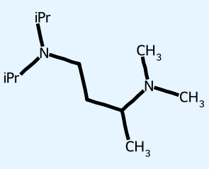 CC(CCN(C(C)C)C(C)C)N(C)C